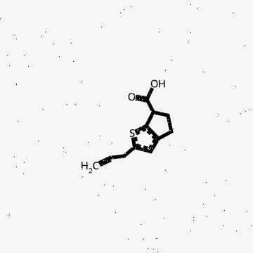 C=CCc1cc2c(s1)C(C(=O)O)CC2